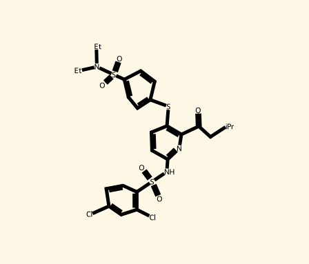 CCN(CC)S(=O)(=O)c1ccc(Sc2ccc(NS(=O)(=O)c3ccc(Cl)cc3Cl)nc2C(=O)CC(C)C)cc1